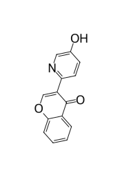 O=c1c(-c2ccc(O)cn2)coc2ccccc12